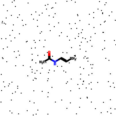 [CH2]/C=C/NC(C)=O